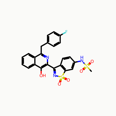 CS(=O)(=O)Nc1ccc2c(c1)S(=O)(=O)N=C2c1nc(Cc2ccc(F)cc2)c2ccccc2c1O